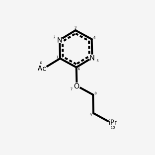 CC(=O)c1nccnc1OCCC(C)C